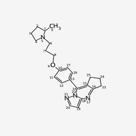 CC1CCCN1CCCOc1ccc(-c2c3c(nc4ccnn24)CCC3)cc1